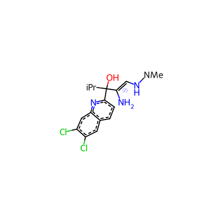 CNN/C=C(\N)C(O)(c1ccc2cc(Cl)c(Cl)cc2n1)C(C)C